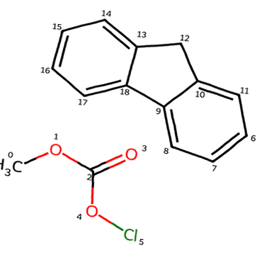 COC(=O)OCl.c1ccc2c(c1)Cc1ccccc1-2